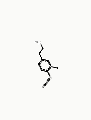 [N-]=[N+]=Nc1ccc(CCC(=O)O)cc1I